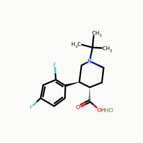 CC(C)(C)N1CC[C@H](C(=O)O)[C@@H](c2ccc(F)cc2F)C1.Cl